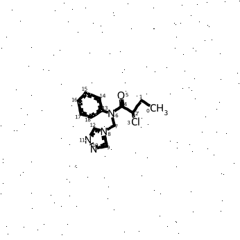 CCC(Cl)C(=O)N(Cn1cnnc1)c1ccccc1